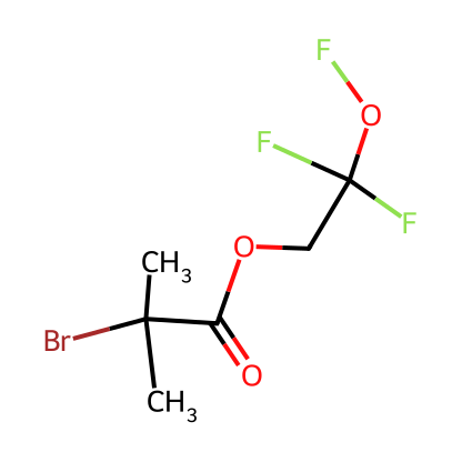 CC(C)(Br)C(=O)OCC(F)(F)OF